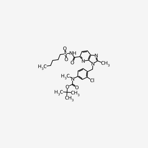 CCCCCS(=O)(=O)NC(=O)c1ccc2nc(C)n(Cc3ccc(N(C)C(=O)OC(C)(C)C)cc3Cl)c2n1